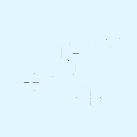 CO[Si](CCCOCC(COCCC[Si](OC)(OC)OC)(COCCC[Si](OC)(OC)OC)CC(C)O)(OC)OC